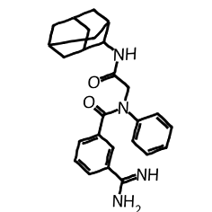 N=C(N)c1cccc(C(=O)N(CC(=O)NC2C3CC4CC(C3)CC2C4)c2ccccc2)c1